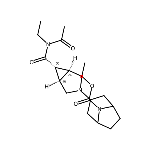 CCOC(=O)N1C2CCC1CC(N1C[C@@H]3[C@H](C1)[C@H]3C(=O)N(CC)C(C)=O)C2